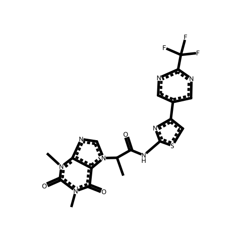 CC(C(=O)Nc1nc(-c2cnc(C(F)(F)F)nc2)cs1)n1cnc2c1c(=O)n(C)c(=O)n2C